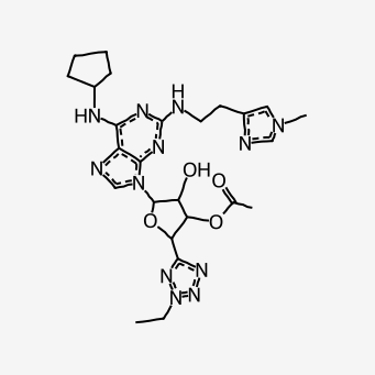 CCn1nnc(C2OC(n3cnc4c(NC5CCCC5)nc(NCCc5cn(C)cn5)nc43)C(O)C2OC(C)=O)n1